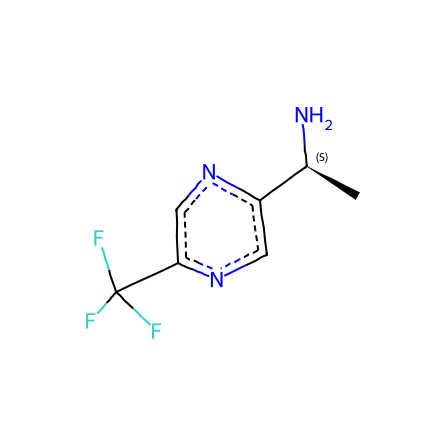 C[C@H](N)c1cnc(C(F)(F)F)cn1